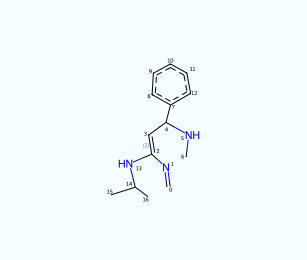 C=N/C(=C\C(NC)c1ccccc1)NC(C)C